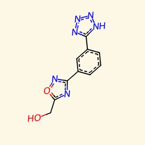 OCc1nc(-c2cccc(-c3nnn[nH]3)c2)no1